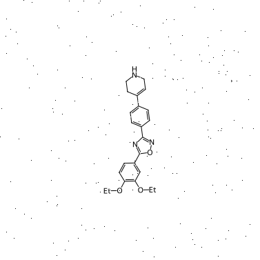 CCOc1ccc(-c2nc(-c3ccc(C4=CCNCC4)cc3)no2)cc1OCC